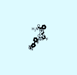 NC(=O)c1nn(CC(=O)N2C[C@H](F)C[C@H]2C(=O)Nc2cccc(-c3ccc4nonc4c3)c2F)c2ccccc12